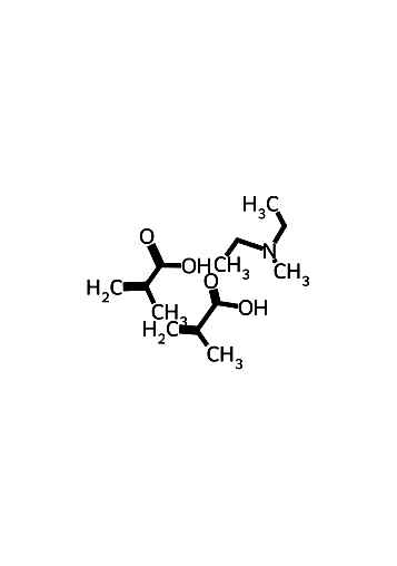 C=C(C)C(=O)O.C=C(C)C(=O)O.CCN(C)CC